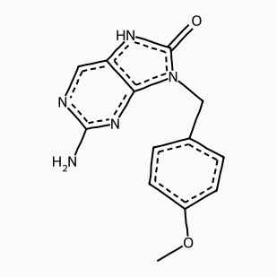 COc1ccc(Cn2c(=O)[nH]c3cnc(N)nc32)cc1